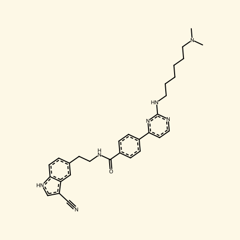 CN(C)CCCCCCNc1nccc(-c2ccc(C(=O)NCCc3ccc4[nH]cc(C#N)c4c3)cc2)n1